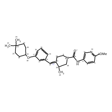 COc1ccc(NC(=O)N2CC/C(=C\c3cccc(OC4CCC(C)(C)CC4)c3)C(C)C2)cn1